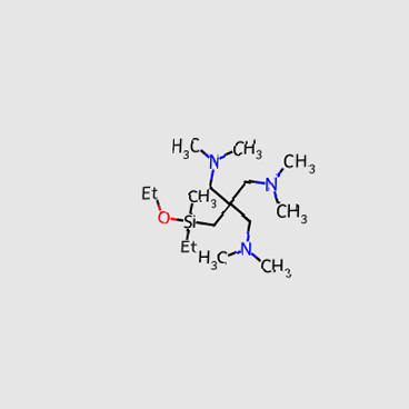 CCO[Si](C)(CC)CC(CN(C)C)(CN(C)C)CN(C)C